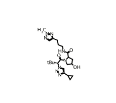 Cn1ncc(CCCNC(=O)C2CC(O)CN2C(=O)[C@@H](n2cc(C3CC3)nn2)C(C)(C)C)n1